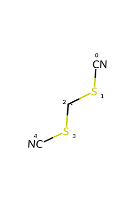 N#CS[CH]SC#N